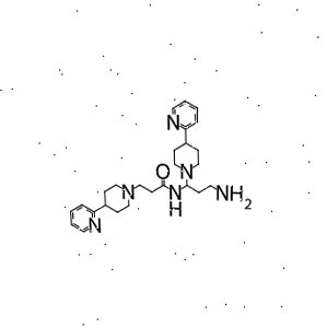 NCCC(NC(=O)CCN1CCC(c2ccccn2)CC1)N1CCC(c2ccccn2)CC1